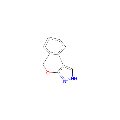 c1ccc2c(c1)COc1n[nH]cc1-2